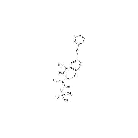 CN1C(=O)[C@@H](N(C)C(=O)OC(C)(C)C)COc2ccc(C#Cc3cccnc3)cc21